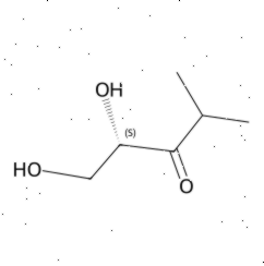 CC(C)C(=O)[C@@H](O)CO